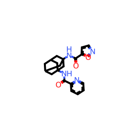 O=C(NC12CC3CC(C1)CC(NC(=O)c1ccno1)(C3)C2)c1ccccn1